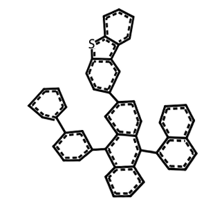 c1ccc(-c2cccc(-c3c4ccccc4c(-c4cccc5ccccc45)c4ccc(-c5ccc6sc7ccccc7c6c5)cc34)c2)cc1